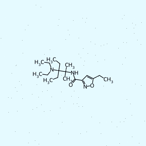 CCc1cc(C(=O)NC(C)(C)C(CC)(CC)N(CC)CC)no1